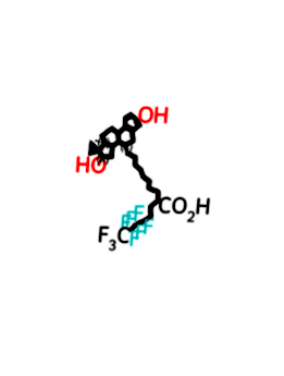 C[C@]12CCC3c4ccc(O)cc4C[C@@H](CCCCCCCCC(CCC(F)(F)C(F)(F)C(F)(F)C(F)(F)F)C(=O)O)C3C1C[C@@H](O)C21CC1